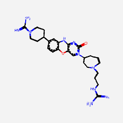 N=C(N)NCCCN1CCCC(n2cc3c(nc2=O)Nc2cc(C4CCN(C(=N)N)CC4)ccc2O3)CC1